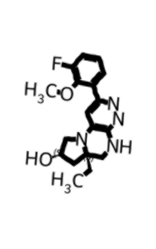 CC[C@]12CNc3nnc(-c4cccc(F)c4OC)cc3N1C[C@@H](O)C2